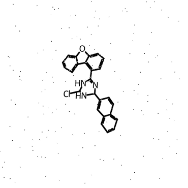 ClC1NC(c2cccc3oc4ccccc4c23)=NC(c2ccc3ccccc3c2)N1